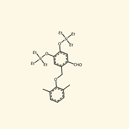 CC[Si](CC)(CC)Oc1cc(C=O)c(COc2c(C)cccc2C)cc1O[Si](CC)(CC)CC